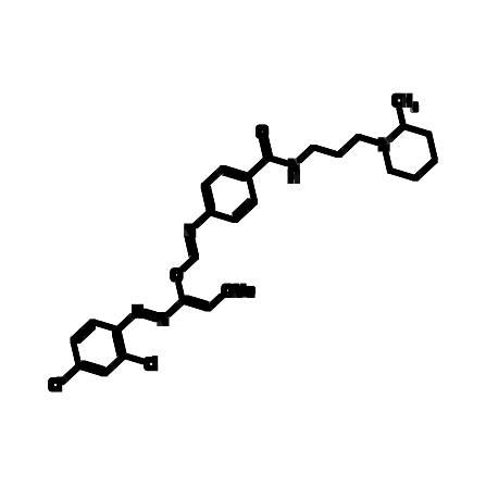 CO/C=C(/N=Nc1ccc(Cl)cc1Cl)O/C=N/c1ccc(C(=O)NCCCN2CCCCC2C)cc1